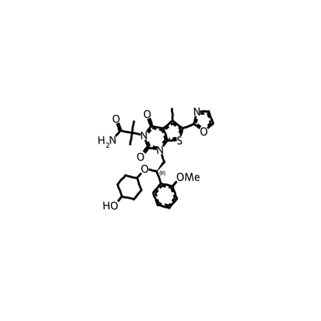 COc1ccccc1[C@H](Cn1c(=O)n(C(C)(C)C(N)=O)c(=O)c2c(C)c(-c3ncco3)sc21)OC1CCC(O)CC1